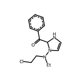 CCN(CCCl)N1C=CNC1C(=O)c1ccccc1